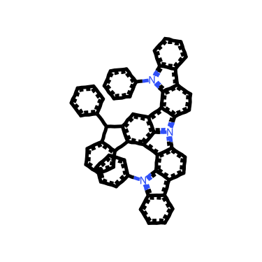 c1ccc(C2c3ccccc3-c3c2cc2c4c5c(ccc4n4c6ccc7c8ccccc8n(-c8ccccc8)c7c6c3c24)c2ccccc2n5-c2ccccc2)cc1